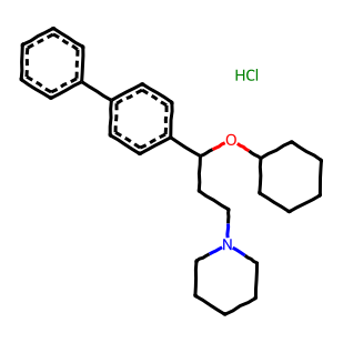 Cl.c1ccc(-c2ccc(C(CCN3CCCCC3)OC3CCCCC3)cc2)cc1